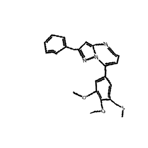 COc1cc(-c2ccnc3cc(-c4ccccc4)nn23)cc(SC)c1OC